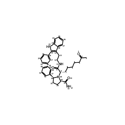 CC(=O)CCCCC[C@@H](C(=O)NCCc1c(-c2ccccc2)[nH]c2ccccc12)N1[C@@H](C(N)=O)CC[C@H]1c1ccccc1